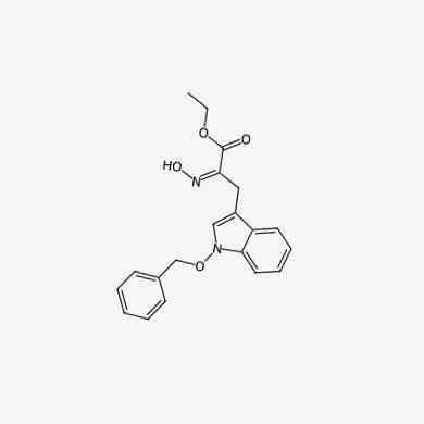 CCOC(=O)C(Cc1cn(OCc2ccccc2)c2ccccc12)=NO